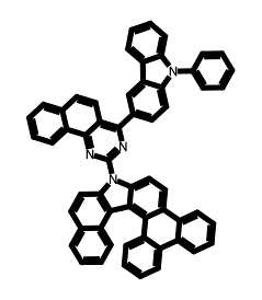 c1ccc(-n2c3ccccc3c3cc(-c4nc(-n5c6ccc7ccccc7c6c6c7c8ccccc8c8ccccc8c7ccc65)nc5c4ccc4ccccc45)ccc32)cc1